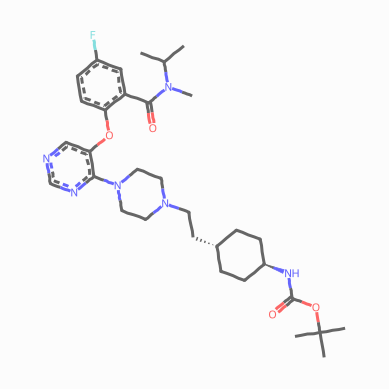 CC(C)N(C)C(=O)c1cc(F)ccc1Oc1cncnc1N1CCN(CC[C@H]2CC[C@H](NC(=O)OC(C)(C)C)CC2)CC1